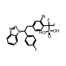 O=P(O)(O)C(F)(F)c1ccc(CC(c2ccc(F)cc2)n2nnc3ccccc32)cc1Br